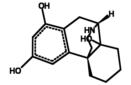 Oc1cc(O)c2c(c1)[C@@]13CCCCC1(O)[C@@H](C2)NCC3